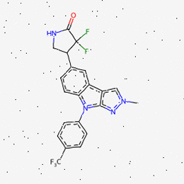 Cn1cc2c3cc(C4CNC(=O)C4(F)F)ccc3n(-c3ccc(C(F)(F)F)cc3)c2n1